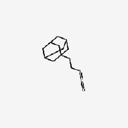 O=C=NCCC12CC3CC(CC(C3)C1)C2